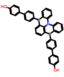 Oc1ccc(-c2ccc(B3c4ccccc4N4c5ccccc5B(c5ccc(-c6ccc(O)cc6)cc5)c5cccc3c54)cc2)cc1